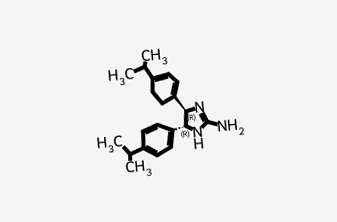 CC(C)C1=CC=C([C@H]2N=C(N)N[C@@H]2c2ccc(C(C)C)cc2)CC1